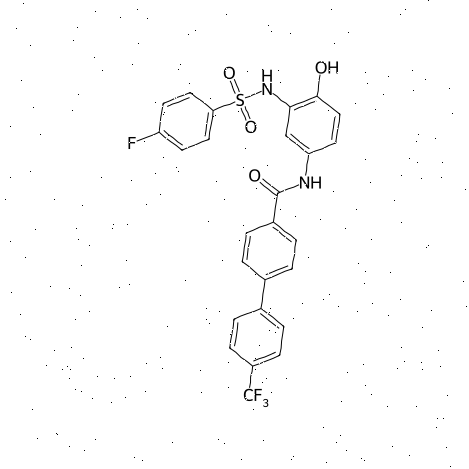 O=C(Nc1ccc(O)c(NS(=O)(=O)c2ccc(F)cc2)c1)c1ccc(-c2ccc(C(F)(F)F)cc2)cc1